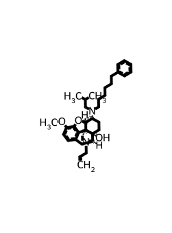 C=CCN1CC[C@]23c4c5ccc(OC)c4O[C@H]2[C@H](N(CCCCCCc2ccccc2)CC(C)C)CC[C@@]3(O)[C@H]1C5